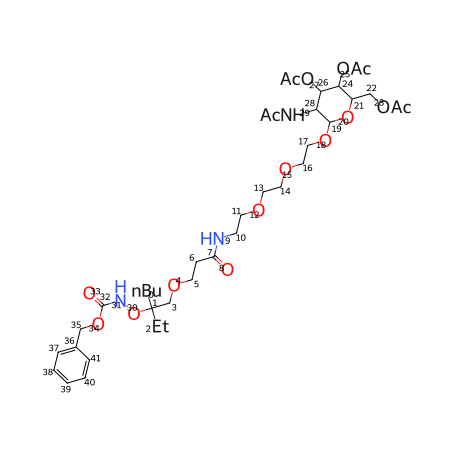 CCCCC(CC)(COCCC(=O)NCCOCCOCCOC1OC(COC(C)=O)C(OC(C)=O)C(OC(C)=O)C1NC(C)=O)ONC(=O)OCc1ccccc1